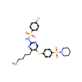 CCCCCc1nc(NS(=O)(=O)c2ccc(Cl)cc2)ncc1Sc1ccc(S(=O)(=O)N2CCCCC2)cc1